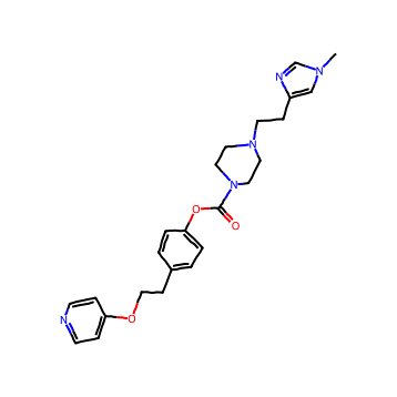 Cn1cnc(CCN2CCN(C(=O)Oc3ccc(CCOc4ccncc4)cc3)CC2)c1